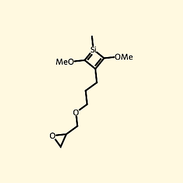 COC1=C(CCCOCC2CO2)C(OC)=[Si]1C